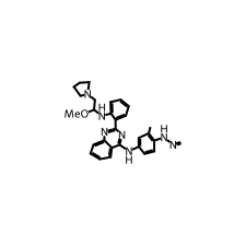 C=NNc1ccc(Nc2nc(-c3ccccc3NC(CN3CCCC3)OC)nc3ccccc23)cc1C